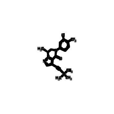 C[C@H]1CN(c2ccc(C(F)(F)F)c(Cl)c2)C(=O)c2c(C#CS(C)(C)C)cnn21